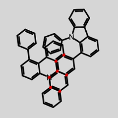 c1ccc(-c2ccccc2-c2c(-c3ccccc3)cccc2N(c2ccccc2)c2ccc(-c3cccc4c5ccccc5n(-c5ccccc5)c34)cc2)cc1